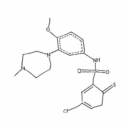 COc1ccc(NS(=O)(=O)C2=CC(Cl)=CCC2=S)cc1N1CCN(C)CC1